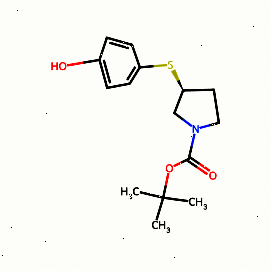 CC(C)(C)OC(=O)N1CC[C@H](Sc2ccc(O)cc2)C1